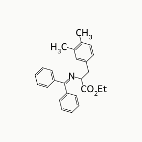 CCOC(=O)C(Cc1ccc(C)c(C)c1)N=C(c1ccccc1)c1ccccc1